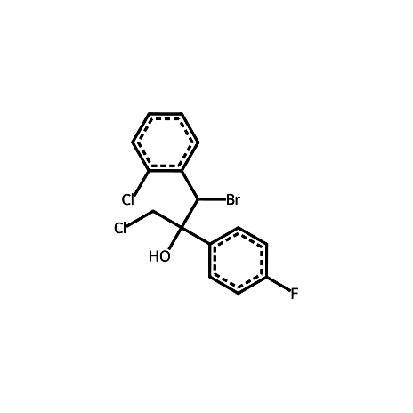 OC(CCl)(c1ccc(F)cc1)C(Br)c1ccccc1Cl